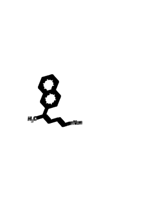 CCCCCCCCC/C=C/C=C(/C)c1ccc2ccccc2c1